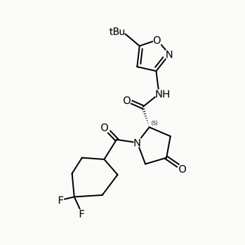 CC(C)(C)c1cc(NC(=O)[C@@H]2CC(=O)CN2C(=O)C2CCC(F)(F)CC2)no1